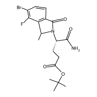 CC1c2c(ccc(Br)c2F)C(=O)N1[C@@H](CCC(=O)OC(C)(C)C)C(N)=O